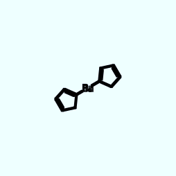 C1=CC[C]([Ba][C]2=CC=CC2)=C1